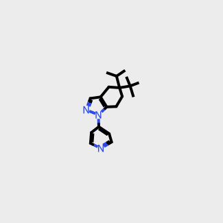 CC(C)C1(C(C)(C)C)CCc2c(cnn2-c2ccncc2)C1